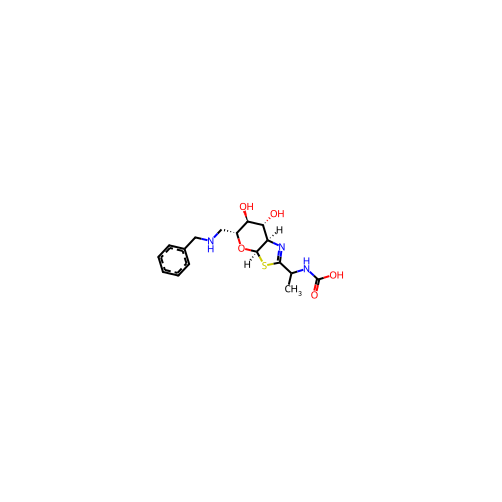 CC(NC(=O)O)C1=N[C@@H]2[C@@H](O)[C@H](O)[C@@H](CNCc3ccccc3)O[C@@H]2S1